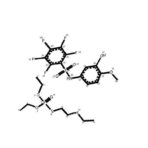 CCOP(=O)(OCC)SCCSCC.COc1ccc(NS(=O)(=O)c2c(F)c(F)c(F)c(F)c2F)cc1O